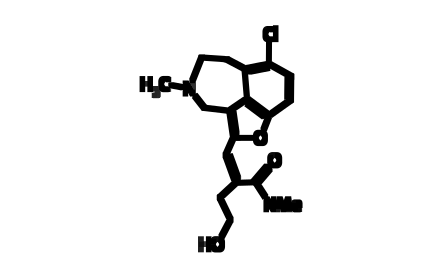 CNC(=O)C(=Cc1oc2ccc(Cl)c3c2c1CN(C)CC3)CCO